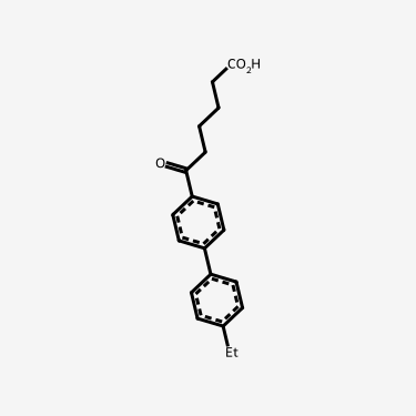 CCc1ccc(-c2ccc(C(=O)CCCCC(=O)O)cc2)cc1